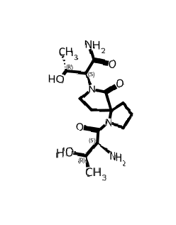 C[C@@H](O)[C@H](N)C(=O)N1CCCC12CCN([C@H](C(N)=O)[C@@H](C)O)C2=O